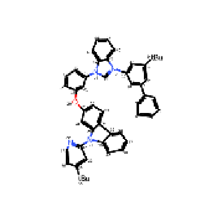 CC(C)(C)c1cc(-c2ccccc2)cc(-[n+]2cn(-c3cccc(Oc4ccc5c6ccccc6n(-c6cc(C(C)(C)C)ccn6)c5c4)c3)c3ccccc32)c1